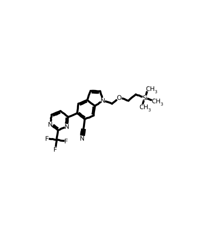 C[Si](C)(C)CCOCn1ccc2cc(-c3ccnc(C(F)(F)F)n3)c(C#N)cc21